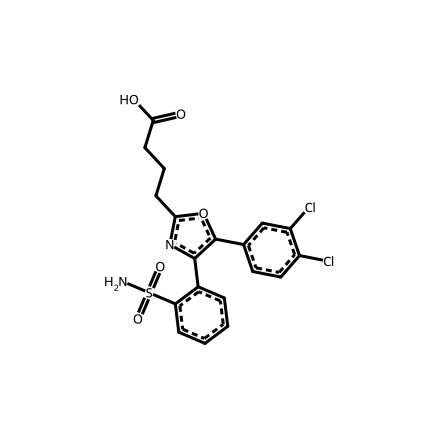 NS(=O)(=O)c1ccccc1-c1nc(CCCC(=O)O)oc1-c1ccc(Cl)c(Cl)c1